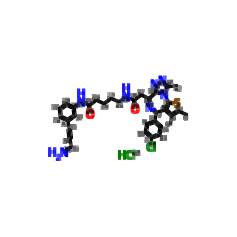 Cc1sc2c(c1C)C(c1ccc(Cl)cc1)=N[C@@H](CC(=O)NCCCCC(=O)Nc1cccc(C#CCN)c1)c1nnc(C)n1-2.Cl